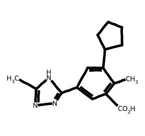 Cc1nnc(-c2cc(C(=O)O)c(C)c(C3CCCC3)c2)[nH]1